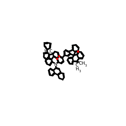 CC1(c2ccccc2-c2ccccc2)CC=CC=C1c1ccccc1N(c1ccc(-c2ccc3c(c2)C2(c4ccccc4-3)c3ccccc3C(C)(C)c3ccccc32)cc1)c1cc2c(c3ccccc13)CCC=C2